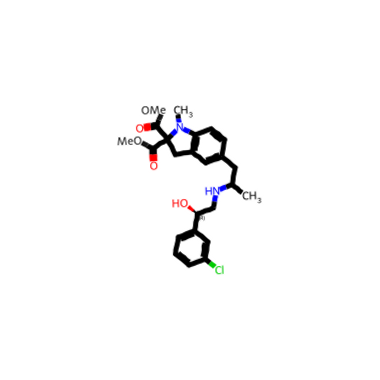 COC(=O)C1(C(=O)OC)Cc2cc(CC(C)NC[C@H](O)c3cccc(Cl)c3)ccc2N1C